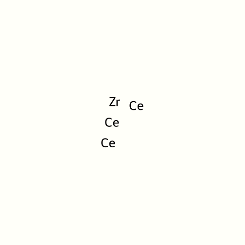 [Ce].[Ce].[Ce].[Zr]